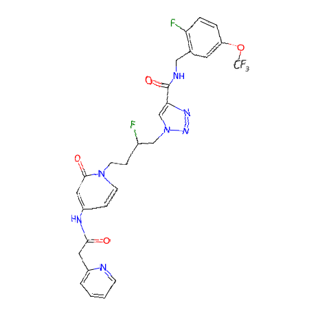 O=C(Cc1ccccn1)Nc1ccn(CCC(F)Cn2cc(C(=O)NCc3cc(OC(F)(F)F)ccc3F)nn2)c(=O)c1